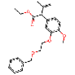 C=C(C)C(C(=O)OCC)c1ccc(OC)c(OCCOCc2ccccc2)c1